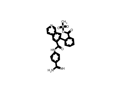 CS(=O)(=O)OC(=O)c1ccccc1-c1cc2cnccc2cc1C(=O)Nc1ccc(C(=N)N)cc1